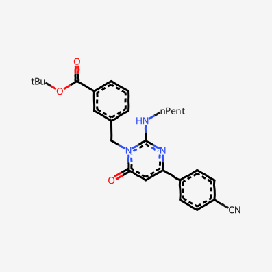 CCCCCNc1nc(-c2ccc(C#N)cc2)cc(=O)n1Cc1cccc(C(=O)OC(C)(C)C)c1